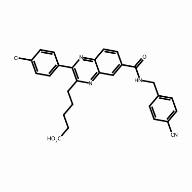 N#Cc1ccc(CNC(=O)c2ccc3nc(-c4ccc(Cl)cc4)c(CCCCC(=O)O)nc3c2)cc1